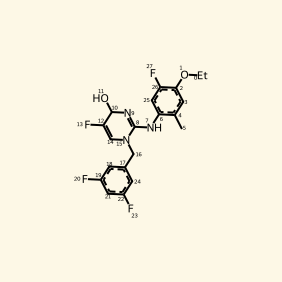 CCOc1cc(C)c(NC2=NC(O)C(F)=CN2Cc2cc(F)cc(F)c2)cc1F